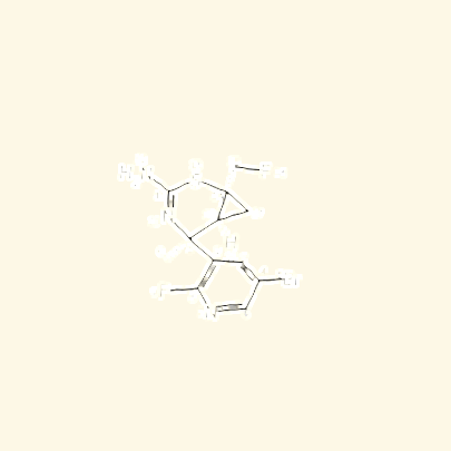 C[C@]1(c2cc(Br)cnc2F)N=C(N)S[C@@]2(CF)C[C@H]21